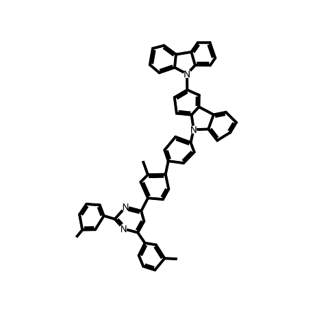 Cc1cccc(-c2cc(-c3ccc(-c4ccc(-n5c6ccccc6c6cc(-n7c8ccccc8c8ccccc87)ccc65)cc4)c(C)c3)nc(-c3cccc(C)c3)n2)c1